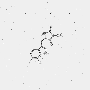 CN1C(=O)N[C@H](Cc2c[nH]c3c(Cl)c(F)ccc23)C1=O